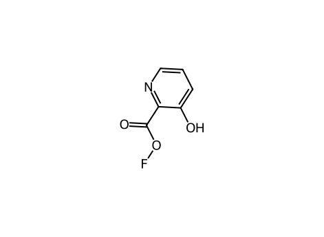 O=C(OF)c1ncccc1O